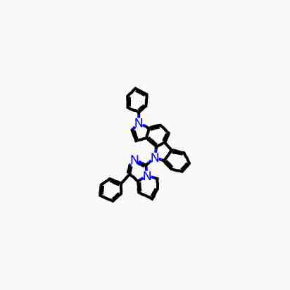 C1=CCN2C(=C1)C(c1ccccc1)=CN=C2n1c2ccccc2c2ccc3c(ccn3-c3ccccc3)c21